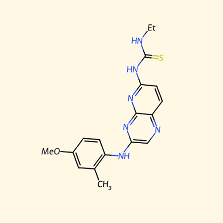 CCNC(=S)Nc1ccc2ncc(Nc3ccc(OC)cc3C)nc2n1